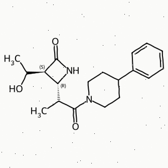 CC(C(=O)N1CCC(c2ccccc2)CC1)[C@H]1NC(=O)[C@@H]1C(C)O